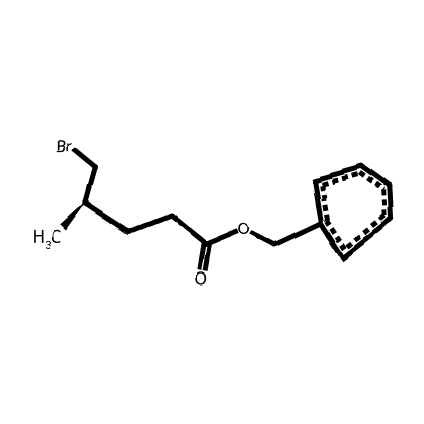 C[C@@H](CBr)CCC(=O)OCc1ccccc1